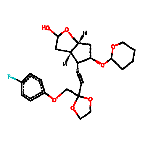 OC1C[C@@H]2[C@@H](/C=C/C3(COc4ccc(F)cc4)OCCO3)[C@H](OC3CCCCO3)C[C@@H]2O1